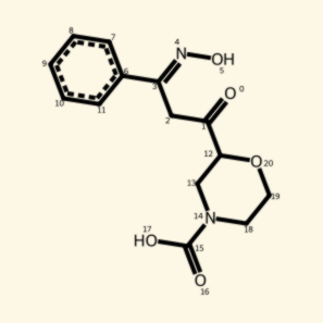 O=C(CC(=NO)c1ccccc1)C1CN(C(=O)O)CCO1